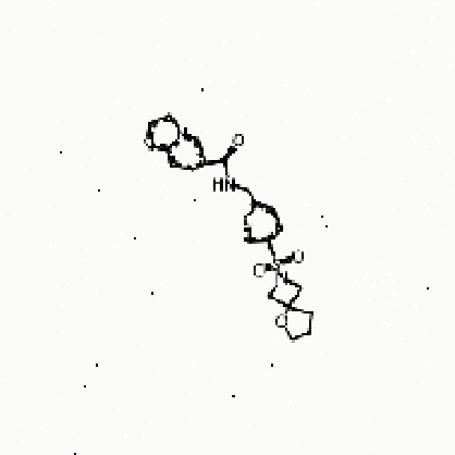 O=C(NCc1ccc(S(=O)(=O)N2CC3(CCCO3)C2)cc1)c1ccc2nccn2c1